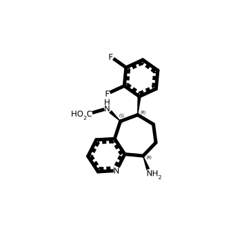 N[C@@H]1CC[C@H](c2cccc(F)c2F)[C@H](NC(=O)O)c2cccnc21